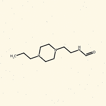 CCCN1CCN(CCN[C]=O)CC1